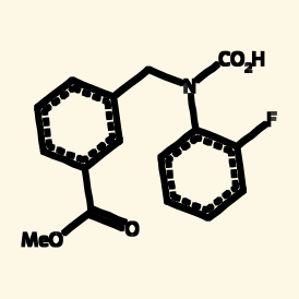 COC(=O)c1cccc(CN(C(=O)O)c2ccccc2F)c1